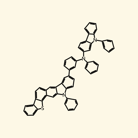 c1ccc(N(c2cccc(-c3ccc4c(c3)c3cc5ccc6c7ccccc7sc6c5cc3n4-c3ccccc3)c2)c2ccc3c4ccccc4n(-c4ccccc4)c3c2)cc1